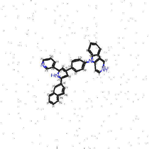 C1=Cc2c(c3ccccc3n2-c2ccc(C3=CC(c4cccnc4)NC(c4ccc5ccccc5c4)=C3)cc2)CN1